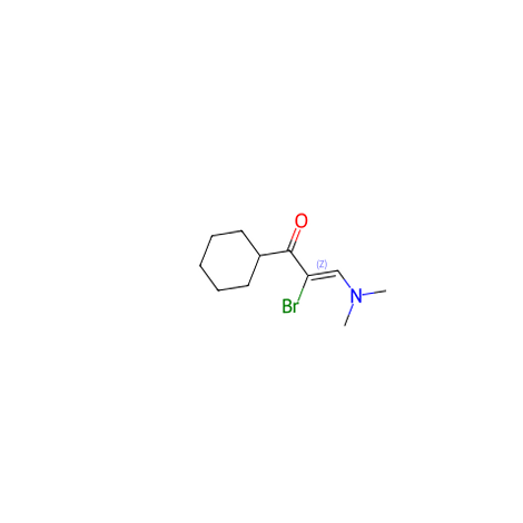 CN(C)/C=C(\Br)C(=O)C1CCCCC1